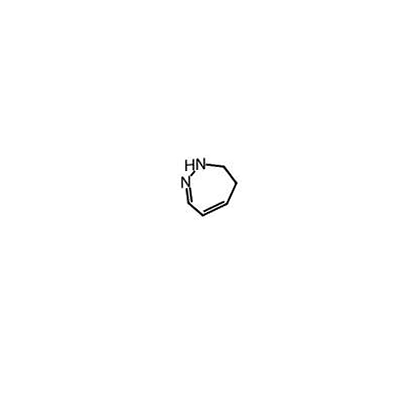 C1=CCCNN=C1